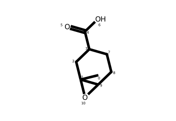 CC12CC(C(=O)O)CCC1O2